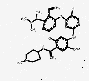 C=Cc1c(Oc2nc(Nc3cc(Cl)c(C(=C)NC4CCN(C)CC4)cc3OC)ncc2Cl)cccc1[C@H](C)N(C)C